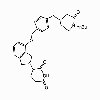 CCCCN1CCN(Cc2ccc(COc3cccc4c3CN(C3CCC(=O)NC3=O)C4)cc2)CC1=O